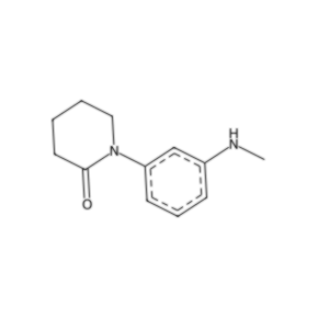 CNc1cccc(N2CCCCC2=O)c1